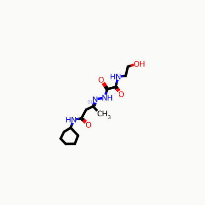 C/C(CC(=O)NC1CCCCC1)=N\NC(=O)C(=O)NCCO